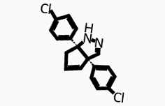 Clc1ccc([C@]23C=CC[C@@]2(c2ccc(Cl)cc2)NN=C3)cc1